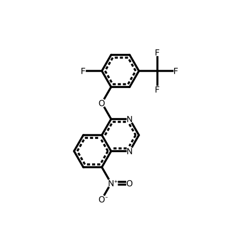 O=[N+]([O-])c1cccc2c(Oc3cc(C(F)(F)F)ccc3F)ncnc12